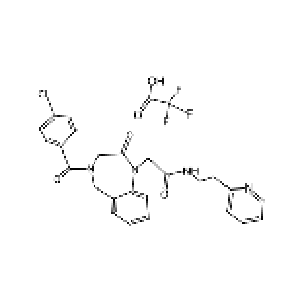 O=C(CN1C(=O)CN(C(=O)c2ccc(Cl)cc2)Cc2ccccc21)NCCc1ccccn1.O=C(O)C(F)(F)F